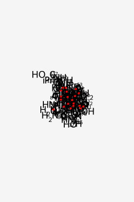 CC(C)C[C@H](NC(=O)[C@@H]1CCCN1C(=O)[C@@H]1CCCN1C(=O)[C@@H]1CCCN1C(=O)[C@@H]1CCCN1C(=O)[C@H](CCCNC(=N)N)NC(=O)[C@H](CO)NC(=O)[C@@H]1CCCN1C(=O)[C@@H]1CCCN1C(=O)[C@@H]1CCCN1C(=O)[C@H](C)NC(=O)[C@H](CO)NC(=O)[C@@H](NC(=O)[C@@H]1CCCN1C(=O)[C@H](CCC(N)=O)NC(=O)[C@@H](NC(=O)[C@H](Cc1ccccc1)NC(=O)[C@@H](N)CC(C)C)[C@@H](C)O)[C@@H](C)O)C(=O)N[C@@H](C)C(=O)N[C@H](C(=O)O)C(C)C